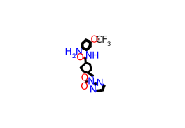 Nc1ccc(OC(F)(F)F)cc1NC(=O)C1CCC2(CC1)CN(c1ncccn1)C(=O)O2